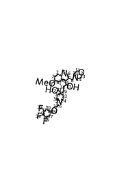 COc1ccc2ncc(CN3CCOCC3)c([C@H](O)CCC3(CO)CCN(CCOc4cc(F)c(F)c(F)c4)CC3)c2c1